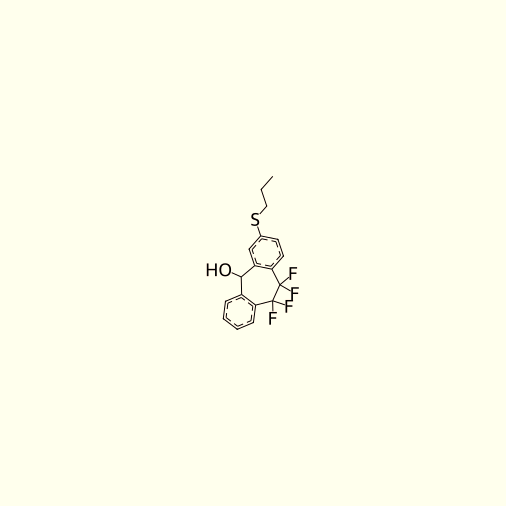 CCCSc1ccc2c(c1)C(O)c1ccccc1C(F)(F)C2(F)F